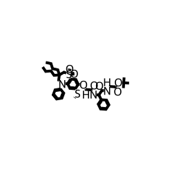 CCCCC1(CCCC)CN(c2ccccc2)c2cc(SC)c(OCC(=O)NC(C(=O)NCC(=O)OC(C)(C)C)c3ccccc3)cc2S(=O)(=O)C1